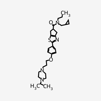 CCCN(CC1CC1)C(=O)C1Cc2nc(-c3ccc(OCCCN4CCN(C(C)C)CC4)cc3)sc2C1